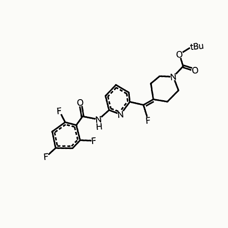 CC(C)(C)OC(=O)N1CCC(=C(F)c2cccc(NC(=O)c3c(F)cc(F)cc3F)n2)CC1